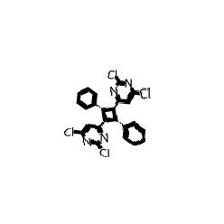 Clc1cc([C@H]2[C@H](c3ccccc3)[C@@H](c3cc(Cl)nc(Cl)n3)[C@@H]2c2ccccc2)nc(Cl)n1